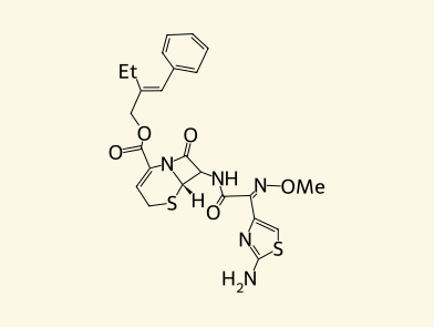 CCC(=Cc1ccccc1)COC(=O)C1=CCS[C@H]2C(NC(=O)C(=NOC)c3csc(N)n3)C(=O)N12